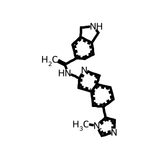 C=C(Nc1cc2cc(-c3cncn3C)ccc2cn1)c1ccc2c(c1)CNC2